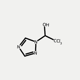 OC(n1cncn1)C(Cl)(Cl)Cl